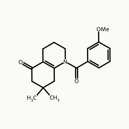 COc1cccc(C(=O)N2CCCC3=C2CC(C)(C)CC3=O)c1